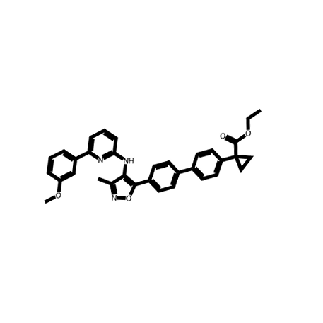 CCOC(=O)C1(c2ccc(-c3ccc(-c4onc(C)c4Nc4cccc(-c5cccc(OC)c5)n4)cc3)cc2)CC1